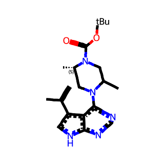 C=C(C)c1c[nH]c2ncnc(N3C[C@H](C)N(C(=O)OC(C)(C)C)CC3C)c12